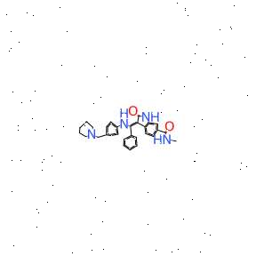 CNC(=O)c1ccc2c(c1)NC(=O)/C2=C(\Nc1ccc(CN2CCCCC2)cc1)c1ccccc1